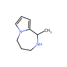 CC1NCCCn2cccc21